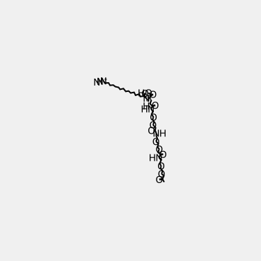 CC(=O)COCCOCCNC(=O)COCCOCCNC(=O)COCCOCCNC(=O)CC[C@@H](NC(=O)CCCCCCCCCCCCCCCN=[N+]=[N-])C(=O)O